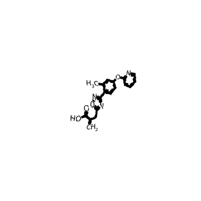 C=C(Cc1nc(-c2ccc(Oc3ccccn3)cc2C)no1)C(=O)O